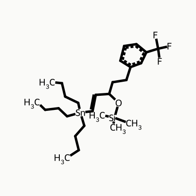 CCC[CH2][Sn](/[CH]=C/C(CCc1cccc(C(F)(F)F)c1)O[Si](C)(C)C)([CH2]CCC)[CH2]CCC